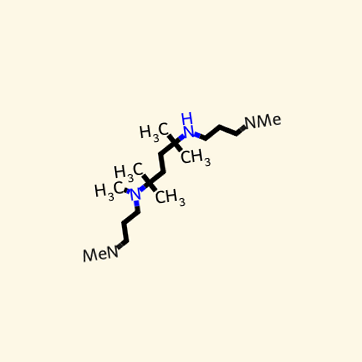 CNCCCNC(C)(C)CCC(C)(C)N(C)CCCNC